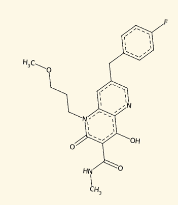 CNC(=O)c1c(O)c2ncc(Cc3ccc(F)cc3)cc2n(CCCOC)c1=O